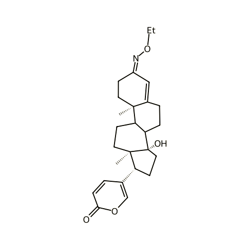 CCON=C1C=C2CCC3C(CC[C@]4(C)[C@@H](c5ccc(=O)oc5)CC[C@]34O)[C@@]2(C)CC1